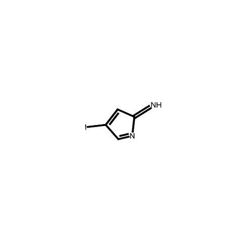 N=C1C=C(I)C=N1